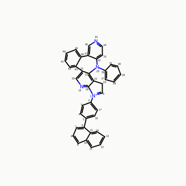 C1=[N+](c2ccc(-c3cccc4ccccc34)cc2)c2ncc3c(c2C1)N(c1ccccc1)c1ccncc1-c1ccccc1-3